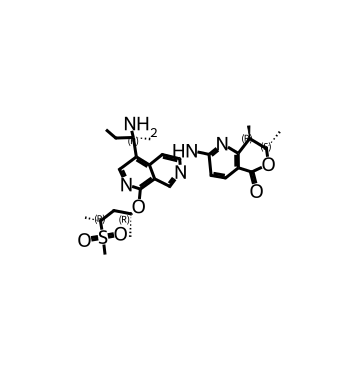 CC[C@@](C)(N)c1cnc(O[C@H](C)C[C@@H](C)S(C)(=O)=O)c2cnc(Nc3ccc4c(n3)[C@@H](C)[C@H](C)OC4=O)cc12